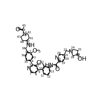 COc1cc(-c2nccc(-c3cccc(NC(=O)c4ccc(CN5CC[C@@H](O)C5)cn4)c3C)c2Cl)ccc1CNC1CCN(C(C)=O)CC1